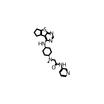 CN(CC(=O)Nc1cccnc1)[C@H]1CC[C@H](Nc2ncnc3sc4c(c23)CCC4)CC1